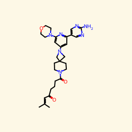 CC(C)=CC(=O)CCCC(=O)N1CCC2(CC1)CN(c1cc(-c3cnc(N)nc3)nc(N3CCOCC3)c1)C2